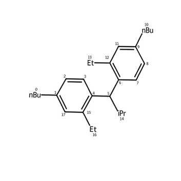 CCCCc1ccc(C(c2ccc(CCCC)cc2CC)C(C)C)c(CC)c1